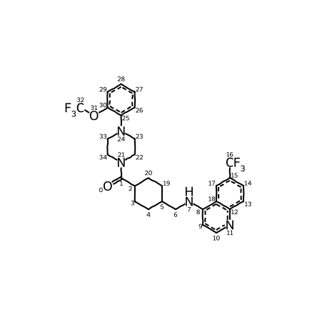 O=C(C1CCC(CNc2ccnc3ccc(C(F)(F)F)cc23)CC1)N1CCN(c2ccccc2OC(F)(F)F)CC1